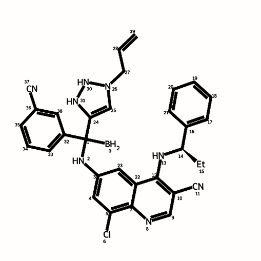 BC(Nc1cc(Cl)c2ncc(C#N)c(N[C@H](CC)c3ccccc3)c2c1)(C1=CN(CC=C)NN1)c1cccc(C#N)c1